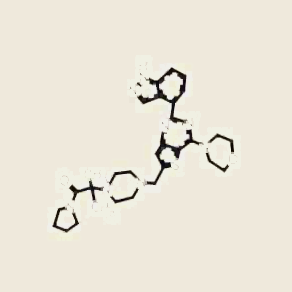 CC(C)(C(=O)N1CCCC1)N1CCN(Cc2cc3nc(-c4cccc5[nH]ncc45)nc(N4CCOCC4)c3s2)CC1